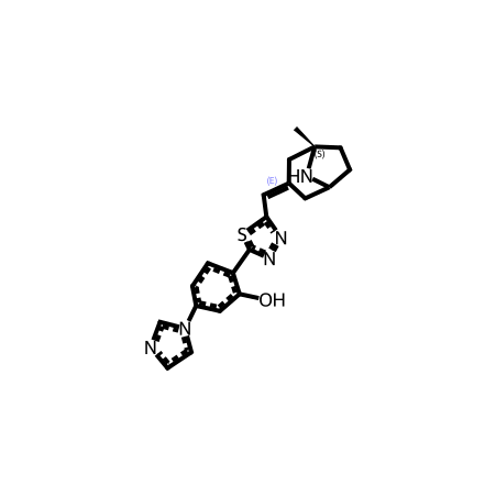 C[C@]12CCC(C/C(=C\c3nnc(-c4ccc(-n5ccnc5)cc4O)s3)C1)N2